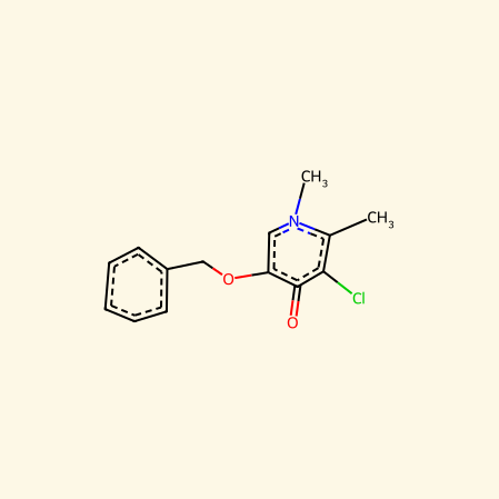 Cc1c(Cl)c(=O)c(OCc2ccccc2)cn1C